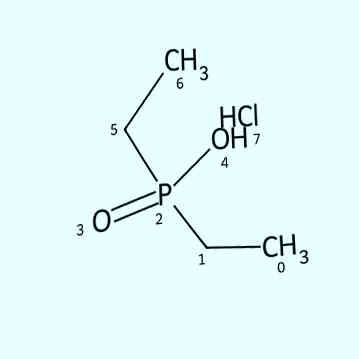 CCP(=O)(O)CC.Cl